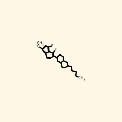 CCCCCC1CCC2CC(c3ccc4cc(OC)cc(F)c4c3F)CCC2C1